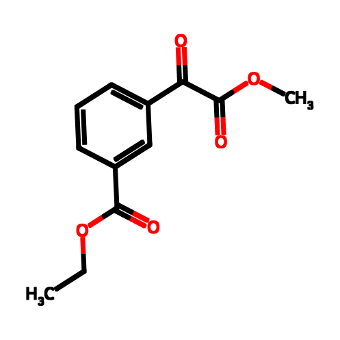 CCOC(=O)c1cccc(C(=O)C(=O)OC)c1